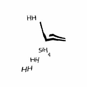 C=CC.[HH].[HH].[HH].[SiH4]